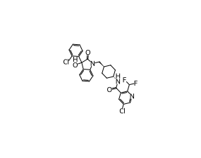 O=C(N[C@H]1CC[C@H](CN2C(=O)C(O)(c3ccccc3Cl)c3ccccc32)CC1)c1cc(Cl)cnc1C(F)F